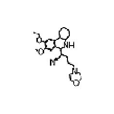 CCOc1cc2c(cc1OC)C(=C(C#N)CCCN1CCOCC1)NC1CCCCC21